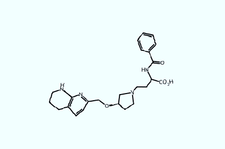 O=C(NC(CCN1CC[C@@H](OCc2ccc3c(n2)NCCC3)C1)C(=O)O)c1ccccc1